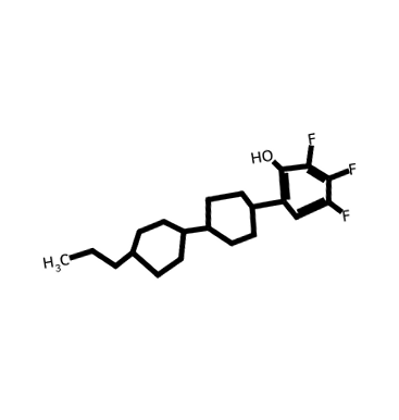 CCCC1CCC(C2CCC(c3cc(F)c(F)c(F)c3O)CC2)CC1